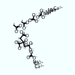 CC(=O)[O-].CC(=O)[O-].O=C([O-])CC(O)(CC(=O)[O-])C(=O)[O-].O=C([O-])[O-].O=C([O-])[O-].O=C([O-])[O-].[Ca+2].[Ca+2].[Ca+2].[Na+].[Na+].[Na+].[Na+].[Na+]